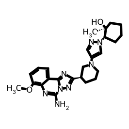 COc1cccc2c1nc(N)n1nc([C@@H]3CCCN(c4cnn([C@@H]5CCCC[C@]5(C)O)c4)C3)nc21